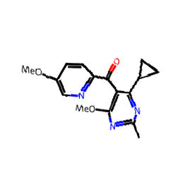 COc1ccc(C(=O)c2c(OC)nc(C)nc2C2CC2)nc1